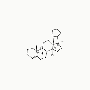 C[C@]12CCCC=C1CCC1[C@@H]2CC[C@@]2(C)[C@H]1CC[C@]2(C)C1CCCC1